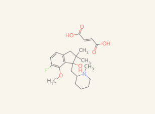 COc1c(F)ccc2c1C(O)(CC1CCCCN1C)C(C)(C)C2.O=C(O)C=CC(=O)O